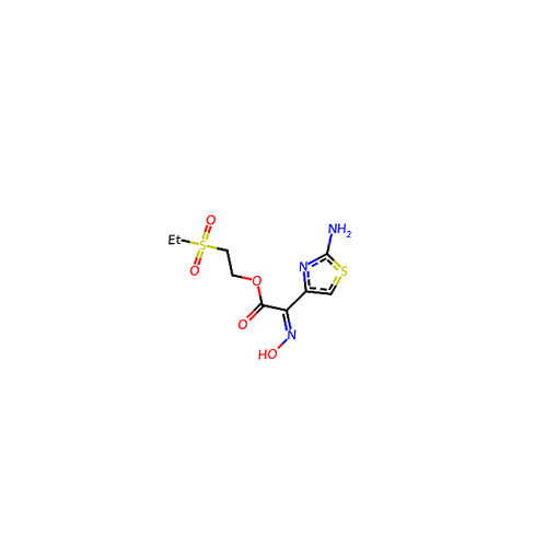 CCS(=O)(=O)CCOC(=O)C(=NO)c1csc(N)n1